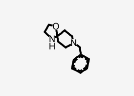 c1ccc(CN2CCC3(CC2)NCCO3)cc1